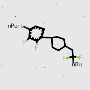 CCCCCc1ccc(C2CCC(CC(F)(F)CCCC)CC2)c(F)c1F